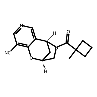 CC1(C(=O)N2C[C@@H]3C[C@H]2c2cncc(C#N)c2O3)CCC1